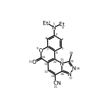 CCN(CC)c1ccc2c(c1)oc(=O)c1cc(C#N)c3nnc(C)n3c12